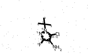 CC(C)(C)n1nc(F)c(N)c1Cl